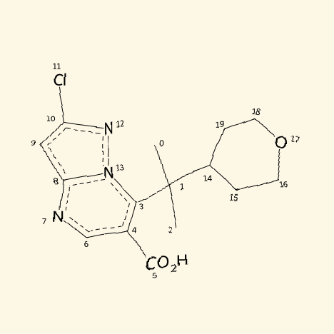 CC(C)(c1c(C(=O)O)cnc2cc(Cl)nn12)C1CCOCC1